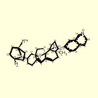 C[C@]12CC=C3C=C4CC[C@@H](N5[C@H]6CC[C@@H]5CC6)C[C@]45CC[C@]3(O5)[C@@H]1CC[C@@H]2c1ccc2ccncc2c1